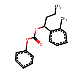 CCCC(OC(=O)Oc1ccccc1)c1ccccc1C